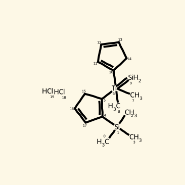 C[Si](C)(C)C1=[C]([Ti]([CH3])([CH3])(=[SiH2])[C]2=CC=CC2)CC=C1.Cl.Cl